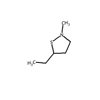 CCC1CCN(C)S1